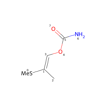 CSC(C)=COC(N)=O